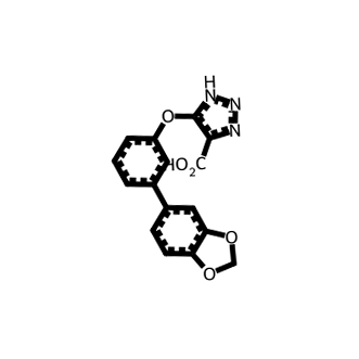 O=C(O)c1nn[nH]c1Oc1cccc(-c2ccc3c(c2)OCO3)c1